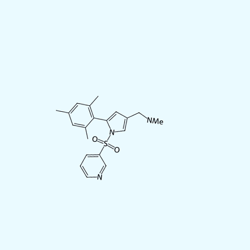 CNCc1cc(-c2c(C)cc(C)cc2C)n(S(=O)(=O)c2cccnc2)c1